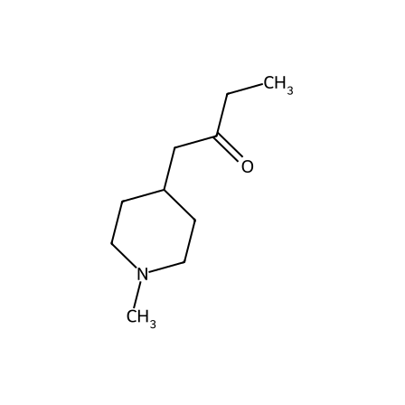 CCC(=O)CC1CCN(C)CC1